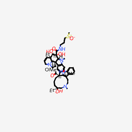 CC[C@]1(O)CCC[C@](C(=O)OC)(c2cc3c(cc2OC)N(C)[C@H]2[C@@](O)(C(=O)NCCC[S+](C)[O-])[C@H](O)[C@]4(CC)C=CCN5CC[C@]32[C@@H]54)c2[nH]c3ccccc3c2CCN(C)C1